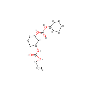 CCOC(=O)OC1CCCC(OC(=O)OC2CCCCC2)C1